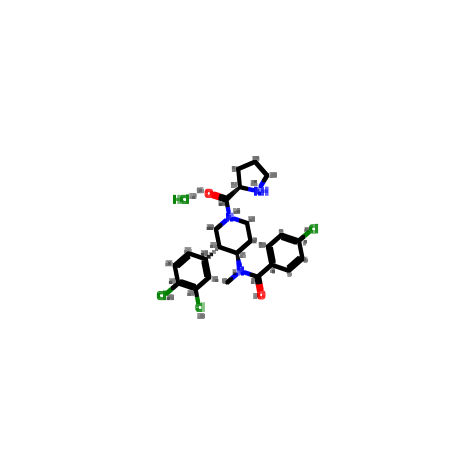 CN(C(=O)c1ccc(Cl)cc1)[C@@H]1CCN(C(=O)[C@H]2CCCN2)C[C@H]1c1ccc(Cl)c(Cl)c1.Cl